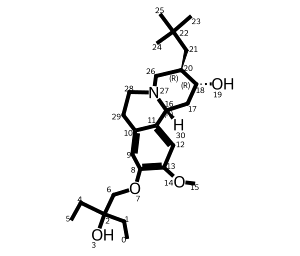 CCC(O)(CC)COc1cc2c(cc1OC)[C@H]1C[C@@H](O)[C@H](CC(C)(C)C)CN1CC2